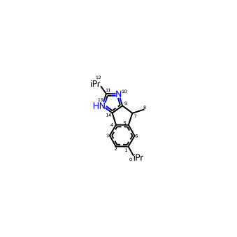 CC(C)c1ccc2c(c1)C(C)c1nc(C(C)C)[nH]c1-2